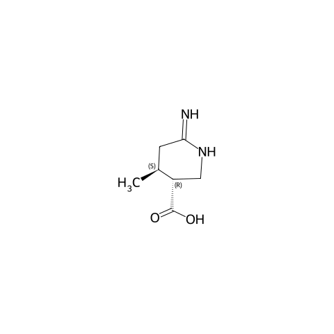 C[C@H]1CC(=N)NC[C@@H]1C(=O)O